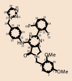 COc1ccc(CN2Cc3nc(-c4c(F)cccc4F)nc(Nc4ccc(Cn5ccnn5)cc4)c3C2=O)c(OC)c1